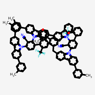 Cc1cccc(-c2ccc3c(c2)c2ccc(Cc4cccc(-c5ccc6c7ccc(-c8cccc(C)c8)cc7n(-c7c(-c8ccccc8C(F)(F)F)ccc(-n8c9cc(-c%10cccc(C)c%10)ccc9c9ccc(-c%10cccc(C)c%10)cc98)c7C#N)c6c5)c4)cc2n3-c2ccc(-c3ccccc3C(F)(F)F)c(-n3c4ccccc4c4cc(-c5cccc(C)c5)ccc43)c2C#N)c1